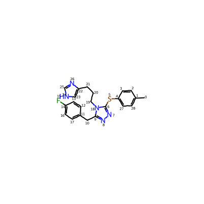 Cc1ccc(Sc2nnc(Cc3ccc(F)cc3)n2CCCc2c[nH]cn2)cc1